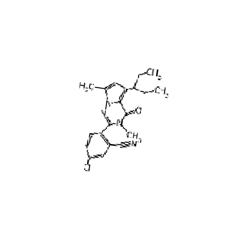 CCC(CC)c1cc(C)n2nc(-c3ccc(Cl)cc3C#N)n(C)c(=O)c12